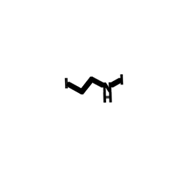 ICCNI